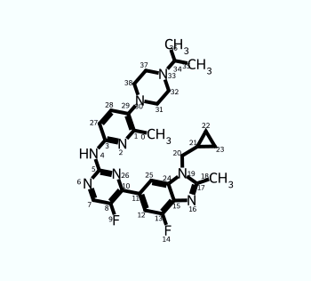 Cc1nc(Nc2ncc(F)c(-c3cc(F)c4nc(C)n(CC5CC5)c4c3)n2)ccc1N1CCN(C(C)C)CC1